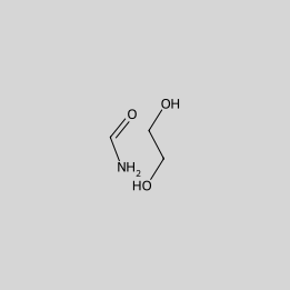 NC=O.OCCO